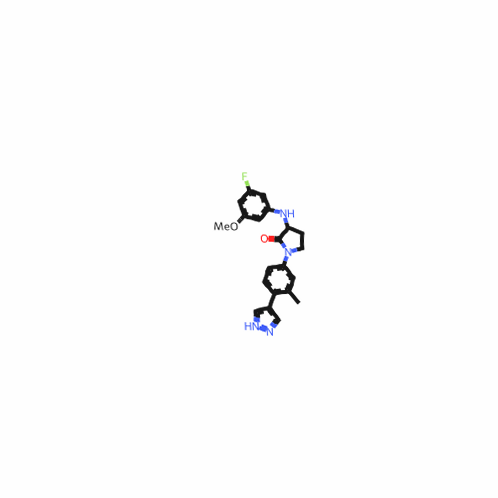 COc1cc(F)cc(NC2CCN(c3ccc(-c4cn[nH]c4)c(C)c3)C2=O)c1